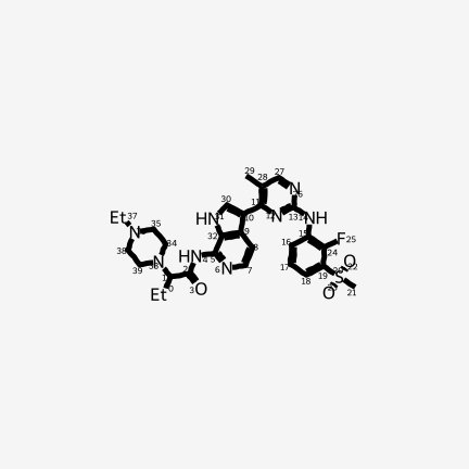 CCC(C(=O)Nc1nccc2c(-c3nc(Nc4cccc(S(C)(=O)=O)c4F)ncc3C)c[nH]c12)N1CCN(CC)CC1